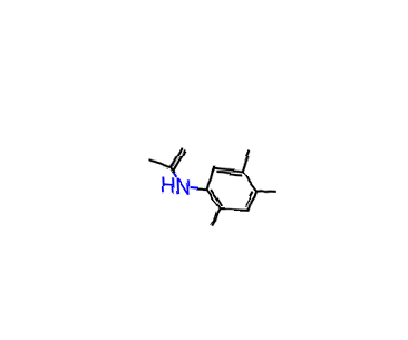 C=C(C)Nc1cc(C)c(C)cc1C